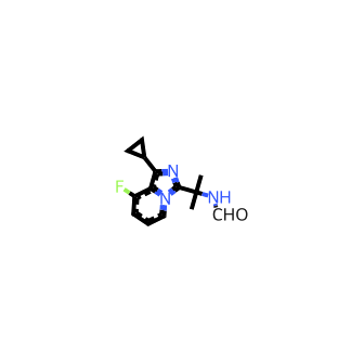 CC(C)(NC=O)c1nc(C2CC2)c2c(F)cccn12